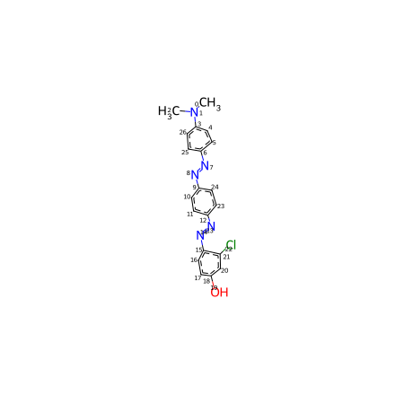 CN(C)c1ccc(N=Nc2ccc(N=Nc3ccc(O)cc3Cl)cc2)cc1